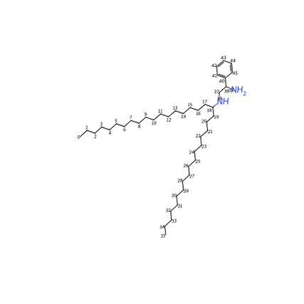 CCCCCCCCCCCCCCCCCCC(CCCCCCCCCCCCCCCCC)NCC(N)c1ccccc1